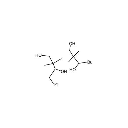 CC(C)CC(O)C(C)(C)CO.CCC(C)C(O)C(C)(C)CO